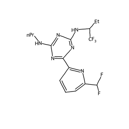 CCCNc1nc(NC(CC)C(F)(F)F)nc(-c2cccc(C(F)F)n2)n1